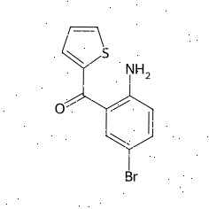 Nc1ccc(Br)cc1C(=O)c1cccs1